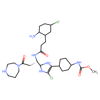 COC(=O)NC1CCC(C2=C(Cl)NC([C@H](CC(=O)N3CCCNCC3)NC(=O)CCC3CC(Cl)CCC3N)N2)CC1